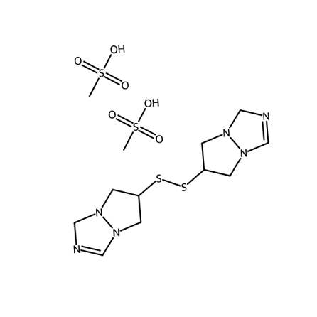 C1=NCN2CC(SSC3CN4C=NCN4C3)CN12.CS(=O)(=O)O.CS(=O)(=O)O